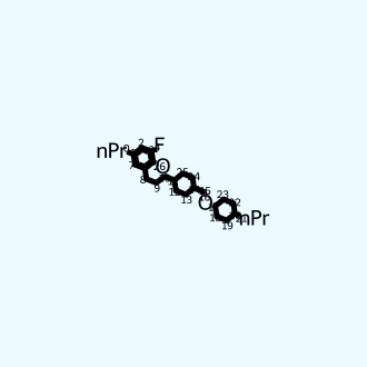 CCCc1cc(F)c2c(c1)CCC(C1CCC(COC3CCC(CCC)CC3)CC1)O2